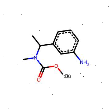 CC(c1cccc(N)c1)N(C)C(=O)OC(C)(C)C